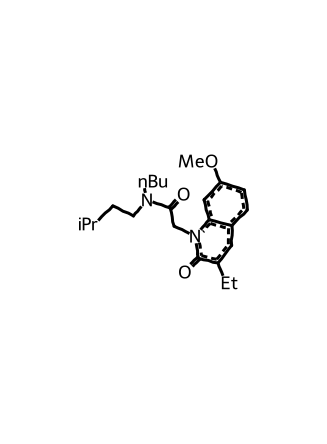 CCCCN(CCC(C)C)C(=O)Cn1c(=O)c(CC)cc2ccc(OC)cc21